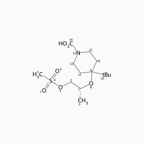 C[C@H](COS(C)(=O)=O)OC1(C(C)(C)C)CCN(C(=O)O)CC1